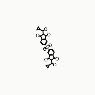 O=C1c2ccc(S(=O)(=O)c3ccc4c(c3)C(=O)C(C(=O)C3CC3)C4=O)cc2C(=O)C1C(=O)C1CC1